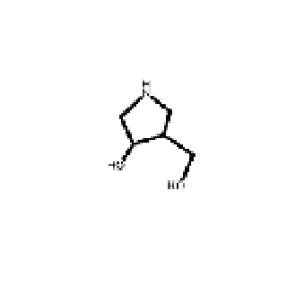 OCC1CNCC1O